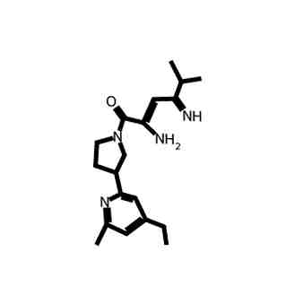 CCc1cc(C)nc(C2CCN(C(=O)/C(N)=C/C(=N)C(C)C)C2)c1